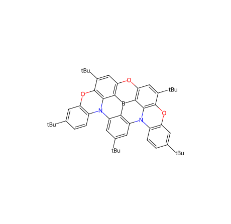 CC(C)(C)c1ccc2c(c1)Oc1c(C(C)(C)C)cc3c4c1N2c1cc(C(C)(C)C)cc2c1B4c1c(cc(C(C)(C)C)c4c1N2c1ccc(C(C)(C)C)cc1O4)O3